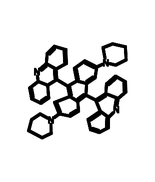 C1=CC2N=c3ccccc3=C(c3c4cc(N5CCCCC5)ccc4c(-c4c5ccccc5nc5ccccc45)c4cc(N5CCCCC5)ccc34)C2C=C1